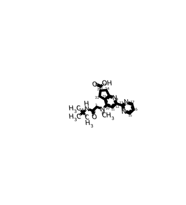 CN(CC(=O)NC(C)(C)C)c1cc(-c2ncccn2)nc2c1CCC2.O=CO